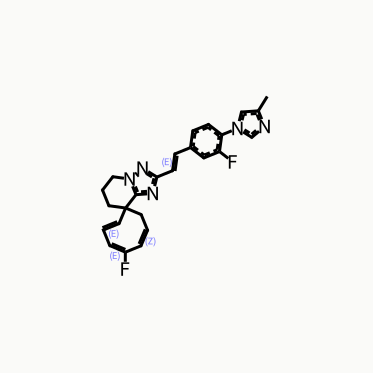 Cc1cn(-c2ccc(/C=C/c3nc4n(n3)CCCC43/C=C/C=C(F)\C=C/C3)cc2F)cn1